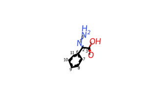 NN=C(C(=O)O)c1ccccc1